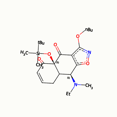 CCCCOc1noc2c1C(=O)[C@@]1(O[Si](C)(C)C(C)(C)C)C(=O)C=CCC1[C@@H]2N(C)CC